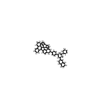 c1ccc(-c2nc(-c3ccc(-c4ccc5c6c(ccc5c4)-c4c(c5ccccc5c5ccccc45)C64c5ccccc5-c5ccccc54)cc3)cc(-c3ccc4ccccc4c3)n2)cc1